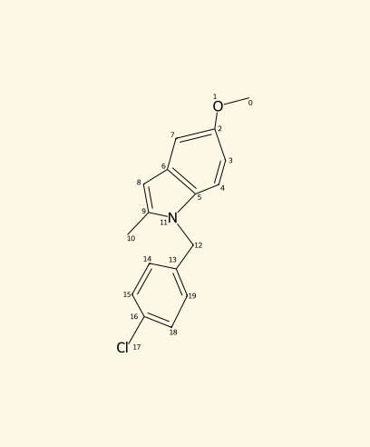 COc1ccc2c(c1)cc(C)n2Cc1ccc(Cl)cc1